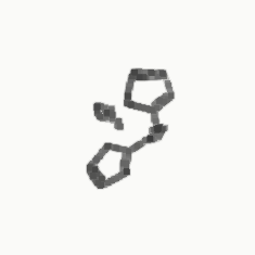 C.C1=CC[C]([Zr][C]2=CC=CC2)=C1